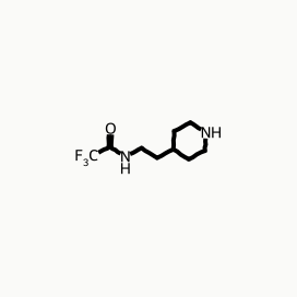 O=C(NCCC1CCNCC1)C(F)(F)F